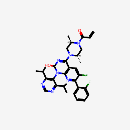 C=CC(=O)N1C[C@H](C)N(C2=NC(O)N(c3c(C(C)C)ncnc3C(C)C)c3nc(-c4ccccc4F)c(F)cc32)C[C@H]1C